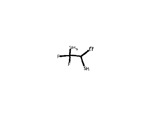 CCC(S)C(F)(F)[SiH3]